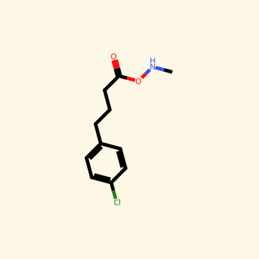 CNOC(=O)CCCc1ccc(Cl)cc1